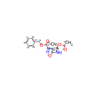 CC(=O)O[C@@H]1NC(=O)[C@@]1(C)NC(=O)OCc1ccccc1